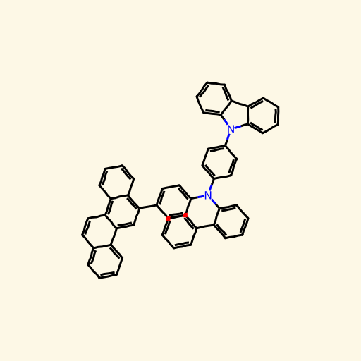 c1ccc(-c2ccccc2N(c2ccc(-c3cc4c5ccccc5ccc4c4ccccc34)cc2)c2ccc(-n3c4ccccc4c4ccccc43)cc2)cc1